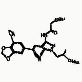 COC(C)Cn1nc(NC(=O)CC(C)(C)C)c2cc(-c3cc(C#N)c4c(c3)OCO4)cnc21